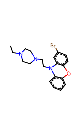 CCN1CCN(CCN2c3ccccc3Oc3ccc(Br)cc32)CC1